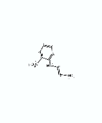 O=C(O)c1ccccc1NC=C[N+](=O)[O-]